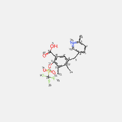 Cc1ccc(Cc2cc(C(=O)O)c(OS(=O)(=O)C(F)(F)F)c(C)c2C)cn1